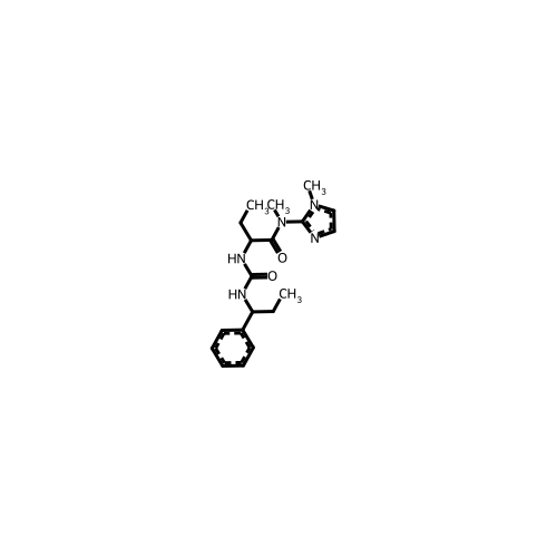 CCC(NC(=O)NC(CC)c1ccccc1)C(=O)N(C)c1nccn1C